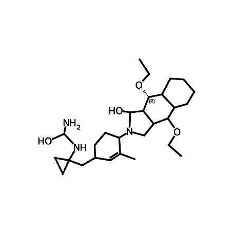 CCOC1C2CCCCC2[C@@H](OCC)C2C1CN(C1CCC(CC3(NC(N)O)CC3)C=C1C)C2O